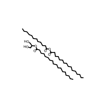 CCCCCCCCCCCCCCCC(=O)OC(=O)CCCCCCCCCCC.CCCCCCCCCCCCCCCCCC(=O)OC(CO)CO